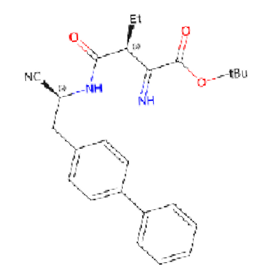 CC[C@@H](C(=N)C(=O)OC(C)(C)C)C(=O)N[C@H](C#N)Cc1ccc(-c2ccccc2)cc1